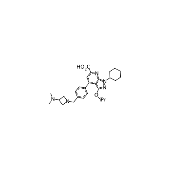 CC(C)Oc1nn(C2CCCCC2)c2nc(C(=O)O)cc(-c3ccc(CN4CC(N(C)C)C4)cc3)c12